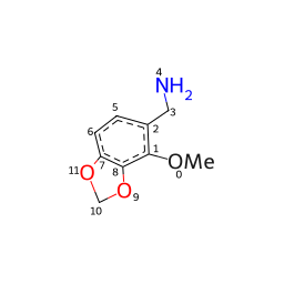 COc1c(CN)ccc2c1OCO2